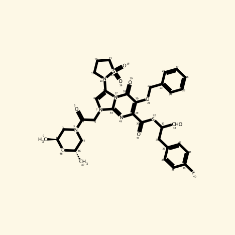 C[C@H]1CN(C(=O)Cn2cc(N3CCCS3(=O)=O)n3c(=O)c(OCc4ccccc4)c(C(=O)SC(C=O)Cc4ccc(F)cc4)nc23)C[C@H](C)O1